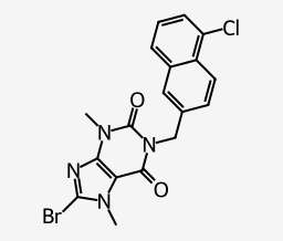 Cn1c(Br)nc2c1c(=O)n(Cc1ccc3c(Cl)cccc3c1)c(=O)n2C